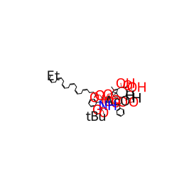 CC/C=C\C/C=C\C/C=C\C/C=C\C/C=C\C/C=C\CCC(=O)OC(C(=O)OC1C[C@@]2(O)[C@@H](OC(=O)c3ccccc3)[C@@H]3[C@]4(OC(C)=O)CO[C@@H]4C[C@H](O)[C@@]3(C)C(=O)[C@H](O)C(=C1C)C2(C)C)[C@@H](NC(=O)OC(C)(C)C)c1ccccc1